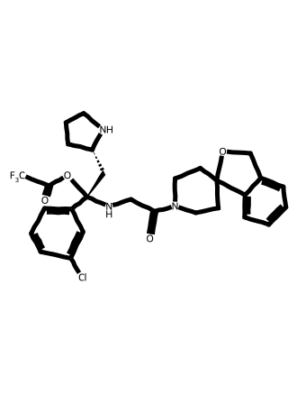 O=C(CN[C@@](C[C@@H]1CCCN1)(OC(=O)C(F)(F)F)c1cccc(Cl)c1)N1CCC2(CC1)OCc1ccccc12